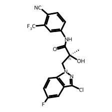 C[C@](O)(Cn1nc(Cl)c2cc(F)ccc21)C(=O)Nc1ccc(C#N)c(C(F)(F)F)c1